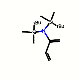 C=CC(=C)N([Si](C)(C)C(C)(C)C)[Si](C)(C)C(C)(C)C